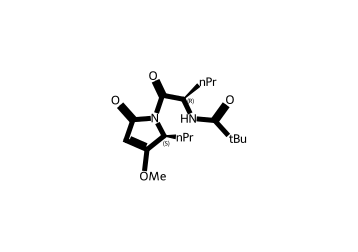 CCC[C@@H](NC(=O)C(C)(C)C)C(=O)N1C(=O)C=C(OC)[C@@H]1CCC